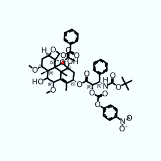 CO[C@@H]1C2=C(C)[C@@H](OC(=O)[C@H](OC(=O)Oc3ccc([N+](=O)[O-])cc3)[C@@H](NC(=O)OC(C)(C)C)c3ccccc3)C[C@@]3(O)[C@@H](OC(=O)c4ccccc4)C4(C23C)[C@]2(OC(C)=O)CO[C@@H]2C[C@H](OC)[C@@]4(C)C1O